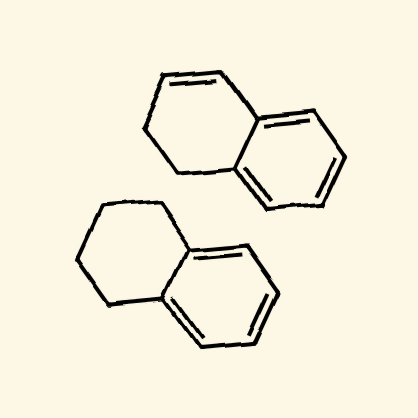 C1=Cc2ccccc2CC1.c1ccc2c(c1)CCCC2